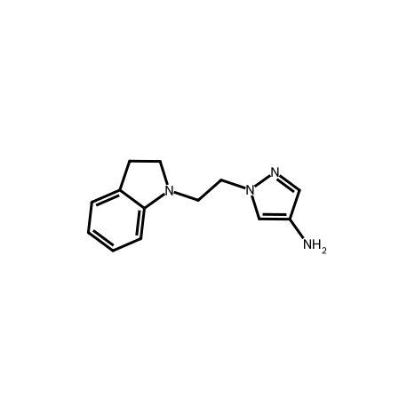 Nc1cnn(CCN2CCc3ccccc32)c1